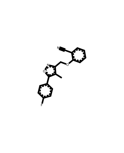 Cc1c(COc2ccccc2C#N)noc1-c1ccc(F)cc1